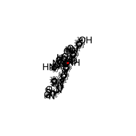 COc1cc(CN2CCN(C3CC4(CCN(c5ccc(C(=O)NS(=O)(=O)c6ccc(NCC7CCC(C)(O)CC7)c([N+](=O)[O-])c6)c(N6c7cc8cc[nH]c8nc7O[C@H]7COCC[C@@H]76)c5)CC4)C3)[C@@H](c3ccccc3C)C2)cnc1OC